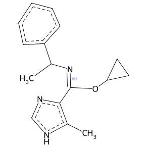 Cc1[nH]cnc1/C(=N\C(C)c1ccccc1)OC1CC1